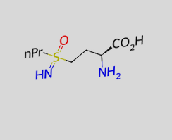 CCCS(=N)(=O)CC[C@H](N)C(=O)O